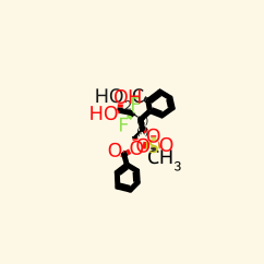 CS(=O)(=O)O[C@@H](COC(=O)c1ccccc1)[C@@H](c1ccccc1C(=O)O)C(F)(F)C(O)O